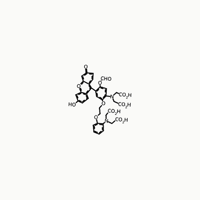 O=COc1cc(N(CC(=O)O)CC(=O)O)c(OCCOc2ccccc2N(CC(=O)O)CC(=O)O)cc1-c1c2ccc(=O)cc-2oc2cc(O)ccc12